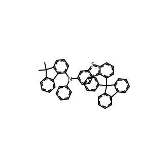 CC1(C)c2ccccc2-c2c(N(c3ccccc3)c3ccc4c(c3)sc3cccc(C5(c6ccccc6)c6ccccc6-c6ccccc65)c34)cccc21